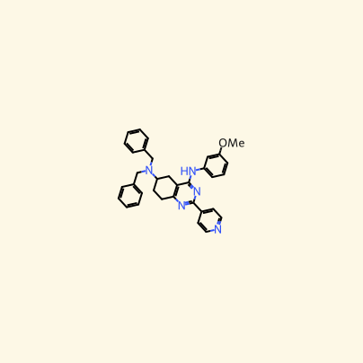 COc1cccc(Nc2nc(-c3ccncc3)nc3c2CC(N(Cc2ccccc2)Cc2ccccc2)CC3)c1